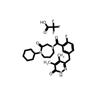 Cc1c(Cc2ccc(F)c(C(=O)N3CCCN(C4CCCCC4)C(=O)C3)c2)n[nH]c(=O)c1C.O=C(O)C(F)(F)F